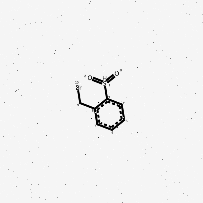 O=[SH](=O)c1ccccc1CBr